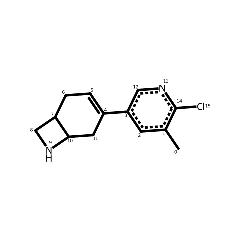 Cc1cc(C2=CCC3CNC3C2)cnc1Cl